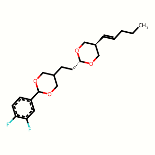 CCC/C=C/[C@H]1CO[C@H](CCC2COC(c3ccc(F)c(F)c3)OC2)OC1